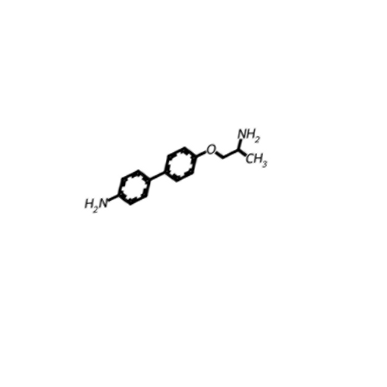 CC(N)COc1ccc(-c2ccc(N)cc2)cc1